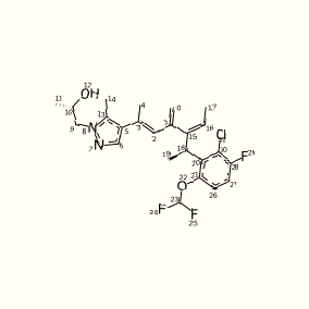 C=C(/C=C(\C)c1cnn(C[C@H](C)O)c1C)/C(=C\C)[C@H](C)c1c(OC(F)F)ccc(F)c1Cl